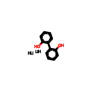 Oc1ccccc1-c1ccccc1O.[LiH].[LiH]